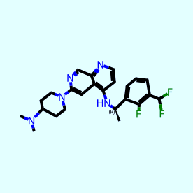 C[C@@H](Nc1ccnc2cnc(N3CCC(N(C)C)CC3)cc12)c1cccc(C(F)F)c1F